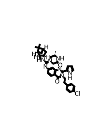 C[C@H]1[C@@H](NC(=Nc2ccc3c(=O)n(CCc4ccc(Cl)cc4)c(-c4ccc[nH]4)nc3c2)N2CC(=O)N[C@@H](C)C2)C[C@@H]2C[C@@H]1C2(C)C